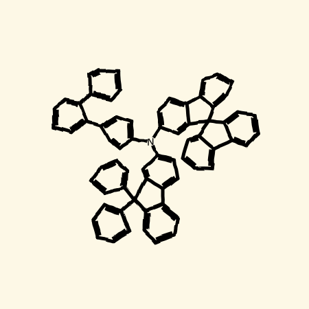 c1ccc(-c2ccccc2-c2ccc(N(c3ccc4c(c3)C(c3ccccc3)(c3ccccc3)c3ccccc3-4)c3ccc4c(c3)C3(c5ccccc5-c5ccccc53)c3ccccc3-4)cc2)cc1